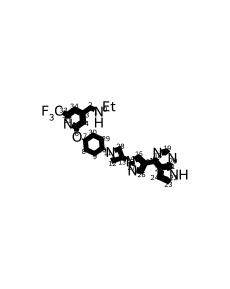 CCNCc1cc(O[C@H]2CC[C@@H](N3C[C](n4cc(-c5ncnc6[nH]ccc56)cn4)C3)CC2)nc(C(F)(F)F)c1